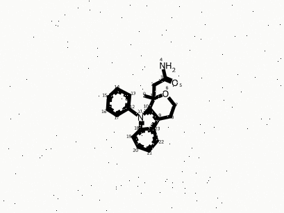 CC1(CC(N)=O)OCCc2c1n(-c1ccccc1)c1ccccc21